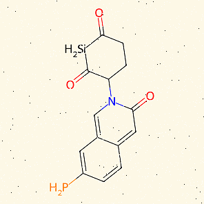 O=C1CCC(n2cc3cc(P)ccc3cc2=O)C(=O)[SiH2]1